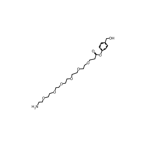 NCCOCCOCCOCCOCCOCCOCCC(=O)Oc1ccc(CO)cc1